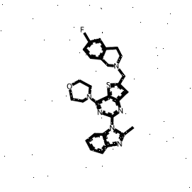 Cc1nc2ccccc2n1-c1nc(N2CCOCC2)c2sc(CN3CCc4cc(F)ccc4C3)cc2n1